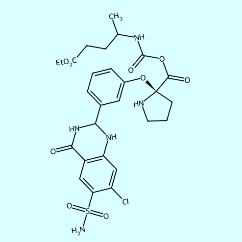 CCOC(=O)CCC(C)NC(=O)OC(=O)[C@]1(Oc2cccc(C3NC(=O)c4cc(S(N)(=O)=O)c(Cl)cc4N3)c2)CCCN1